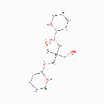 OCC(CO)(COC1CCCCO1)COC1CCCCO1